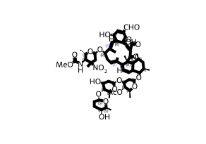 COC(=O)N[C@H]1[C@H](C)O[C@@H](O[C@@H]2C/C=C(\C)[C@H]3C=CC4[C@@H](O[C@H]5C[C@H](O[C@H]6C[C@H](O)[C@@H](O[C@H]7CC[C@@H](O)[C@H](C)O7)[C@H](C)O6)[C@@H](OC(C)=O)[C@H](C)O5)[C@H](C)C[C@H](C)[C@H]4[C@@]3(C)C(=O)C3=C(O)C4(CC(C=O)=C[C@H](O)[C@H]4/C=C/2C)OC3=O)CC1(C)[N+](=O)[O-]